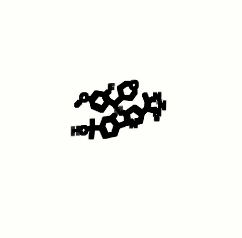 COc1ccc(C(C2CCOCC2)n2c3cc(C(C)(C)O)ccc3c3ncc(-c4c(C)nnn4C)cc32)c(F)c1